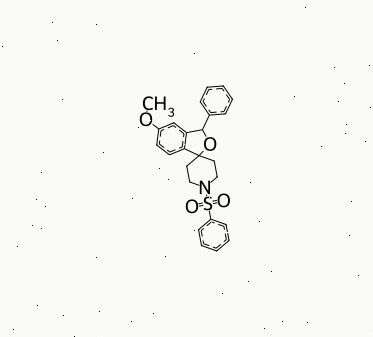 COc1ccc2c(c1)C(c1ccccc1)OC21CCN(S(=O)(=O)c2ccccc2)CC1